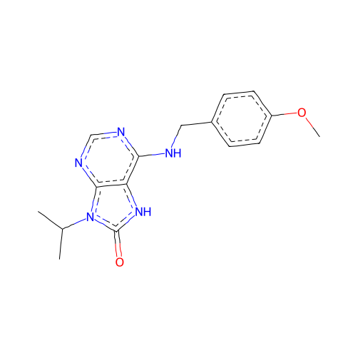 COc1ccc(CNc2ncnc3c2[nH]c(=O)n3C(C)C)cc1